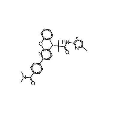 Cc1csc(NC(=O)C(C)(C)[C@H]2c3ccccc3Oc3nc(-c4ccc(C(=O)N(C)C)cc4)ccc32)n1